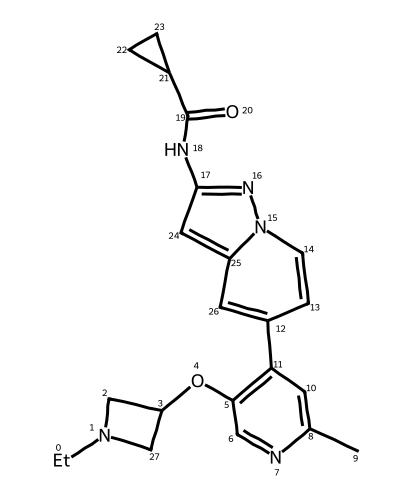 CCN1CC(Oc2cnc(C)cc2-c2ccn3nc(NC(=O)C4CC4)cc3c2)C1